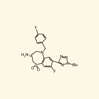 CC(C)(C)n1nnc(-c2cc3c(cc2F)S(=O)(=O)C[C@H](N)CN3Cc2ccc(F)cc2)n1